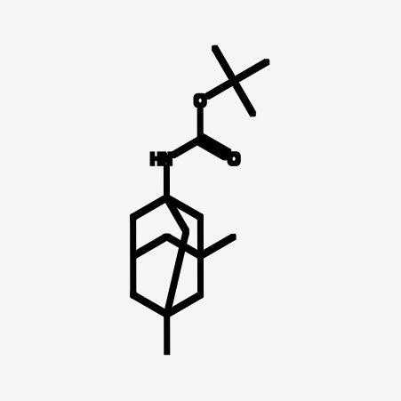 CC12CC3CC(C)(C1)CC(NC(=O)OC(C)(C)C)(C3)C2